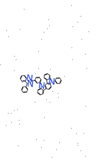 c1ccc(-c2nc(-c3cccc(-n4c5ccccc5c5ccc6c(c7ccccc7n6-c6ccccc6)c54)c3)nc3ccccc23)cc1